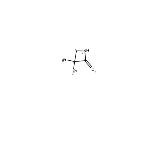 CC(C)C1(C(C)C)CNC1=O